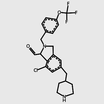 O=CC1c2c(Cl)cc(CC3CCNCC3)cc2CN1Cc1ccc(OC(F)(F)F)cc1